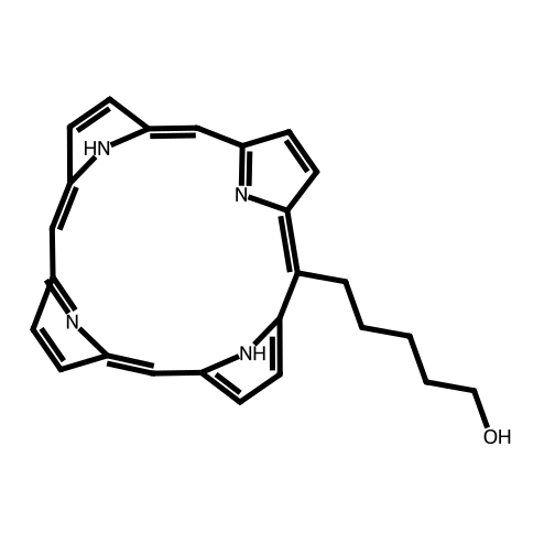 OCCCCCc1c2nc(cc3ccc(cc4nc(cc5ccc1[nH]5)C=C4)[nH]3)C=C2